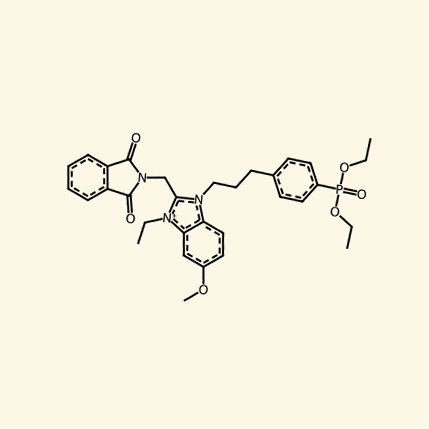 CCOP(=O)(OCC)c1ccc(CCCn2c(CN3C(=O)c4ccccc4C3=O)[n+](CC)c3cc(OC)ccc32)cc1